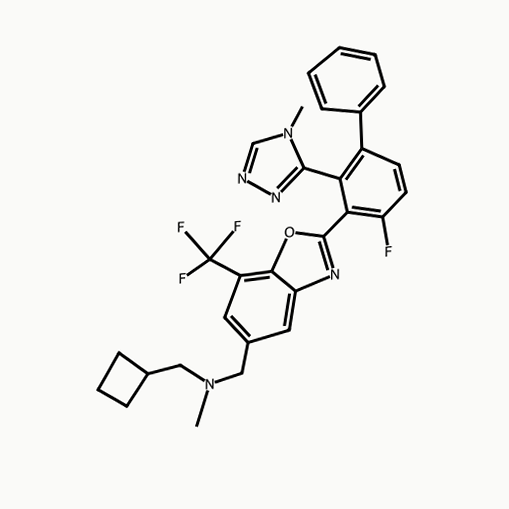 CN(Cc1cc(C(F)(F)F)c2oc(-c3c(F)ccc(-c4ccccc4)c3-c3nncn3C)nc2c1)CC1CCC1